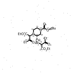 CCOC(=O)C(Br)C(=O)CC.CCOC(=O)C(C(=O)CC)N1CCN(C(=O)OC(C)(C)C)C[C@@H]1C